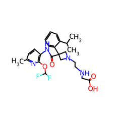 Cc1ccc(NC(=O)C2(c3ccccc3C(C)C)CN(CCNCC(=O)O)C2)c(OC(F)F)n1